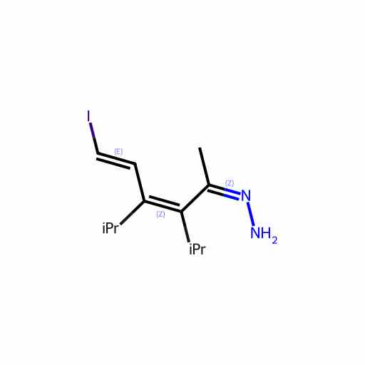 CC(=N/N)/C(=C(\C=C\I)C(C)C)C(C)C